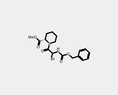 COC(=O)[C@@H]1CCCCN1C(=O)C(NC(=O)OCc1ccccc1)C(C)C